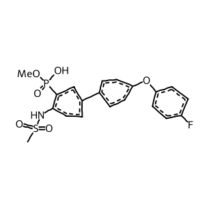 COP(=O)(O)c1cc(-c2ccc(Oc3ccc(F)cc3)cc2)ccc1NS(C)(=O)=O